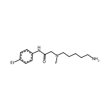 CCc1ccc(NC(=O)CN(F)CCCCCN)cc1